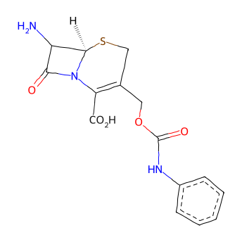 NC1C(=O)N2C(C(=O)O)=C(COC(=O)Nc3ccccc3)CS[C@H]12